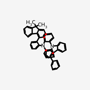 CC1(C)c2ccccc2-c2c(-c3ccccc3N(c3ccc(-c4ccccc4)cc3)c3ccccc3-n3c4ccccc4c4ccccc43)cccc21